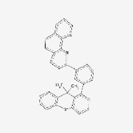 CC1(C)c2ccccc2Sc2cccc(-c3cccc(-c4ccc5ccc6cccnc6c5n4)c3)c21